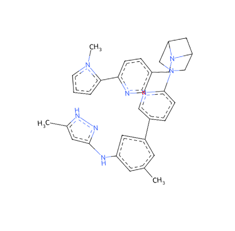 Cc1cc(Nc2cc(C)[nH]n2)cc(-c2ccc(N3CC4CC(C3)N4Cc3ccc(-c4cccn4C)nc3)nc2)c1